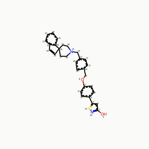 Oc1cc(-c2ccc(OCc3ccc(CN4CCC5(C=Cc6ccccc65)CC4)cc3)cc2)sn1